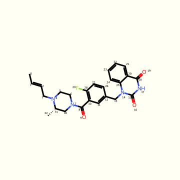 C/C=C/CN1CCN(C(=O)c2cc(Cn3c(=O)[nH]c(=O)c4ccccc43)ccc2F)C[C@@H]1C